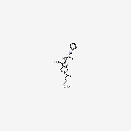 CC(=O)OCCCC(=O)N1CCc2c(sc(NC(=O)/C=C/c3ccccc3)c2N)C1